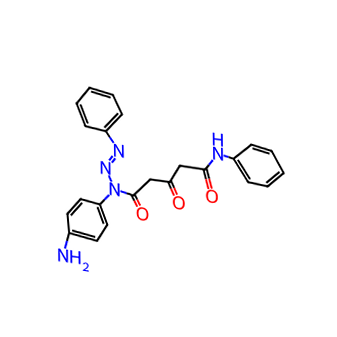 Nc1ccc(N(N=Nc2ccccc2)C(=O)CC(=O)CC(=O)Nc2ccccc2)cc1